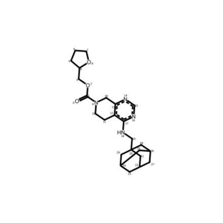 O=C(OCC1CCCO1)N1CCc2c(ncnc2NCC23CC4CC(CC(C4)C2)C3)C1